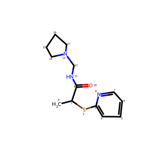 CC(Sc1ccccn1)C(=O)NCN1CCCC1